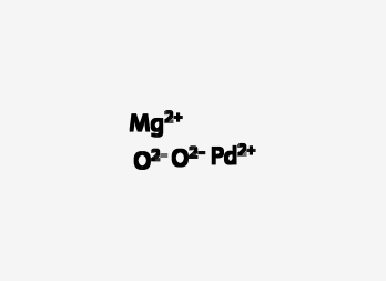 [Mg+2].[O-2].[O-2].[Pd+2]